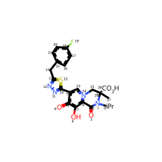 CC(C)N1C(=O)c2c(O)c(=O)c(-c3nnc(Cc4ccc(F)cc4)s3)cn2C[C@@]1(C)C(=O)O